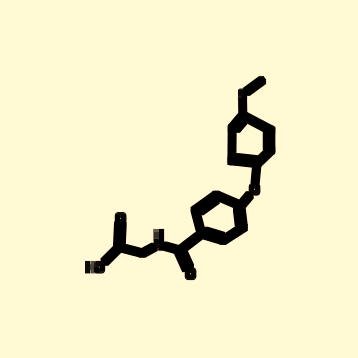 CSc1ccc(Oc2ccc(C(=O)NCC(=O)O)cc2)cc1